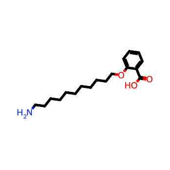 NCCCCCCCCCCCOc1ccccc1C(=O)O